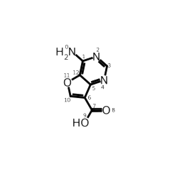 Nc1ncnc2c(C(=O)O)coc12